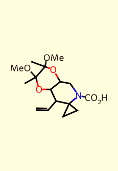 C=CC1C2OC(C)(OC)C(C)(OC)OC2CN(C(=O)O)C12CC2